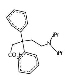 CC(C)N(CCC(CC(=O)O)(c1ccccc1)c1ccccc1)C(C)C